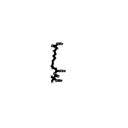 CCCCCCC(C/C=C\CCCCCCCC(=O)OC)OC(=O)C(C)(C)OC